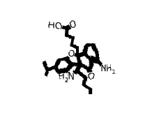 CCCCC(N)C12C(=O)c3c(N)cccc3C1(CCCCC(=O)O)Oc1cc(C(C)C)ccc12